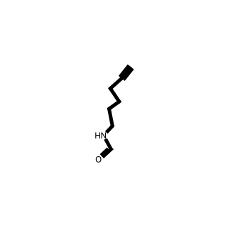 C#CCCCCN[C]=O